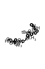 Cc1c(OCCC2CCN(CC(=O)Nc3cccc4c(C5CCC(=O)NC5=O)nn(C)c34)CC2)cccc1-c1ccc(N2CCc3cccc(C(=O)Nc4nc5ccccc5s4)c3C2)nc1C(=O)OC(C)(C)C